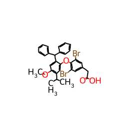 COc1cc(C(c2ccccc2)c2ccccc2)c(Oc2c(Br)cc(CC(=O)O)cc2Br)cc1C(C)C